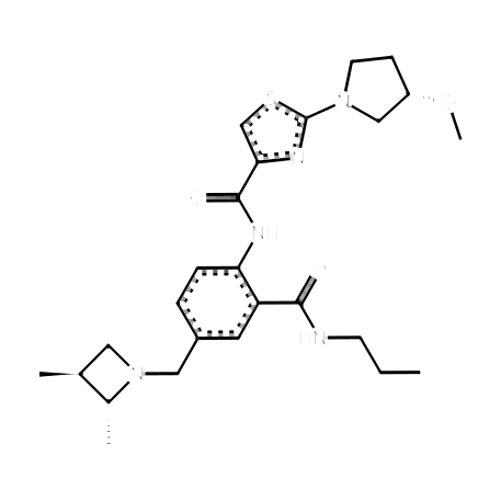 CCCNC(=O)c1cc(CN2C[C@H](C)[C@H]2C)ccc1NC(=O)c1csc(N2CC[C@H](OC)C2)n1